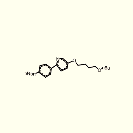 CCCCCCCCCc1ccc(-c2ccc(OCCCCOCCCC)cn2)cc1